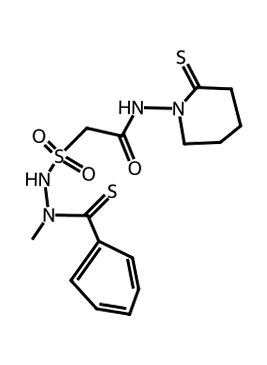 CN(NS(=O)(=O)CC(=O)NN1CCCCC1=S)C(=S)c1ccccc1